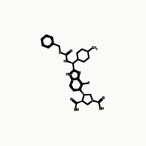 CC1CCC([C@H](NC(=O)OCc2ccccc2)c2nc3c(F)c([C@H]4CN(C(=O)O)C[C@H]4C(=O)O)ccc3[nH]2)CC1